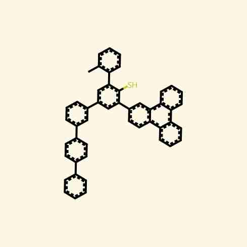 Cc1ccccc1-c1cc(-c2cccc(-c3ccc(-c4ccccc4)cc3)c2)cc(-c2ccc3c4ccccc4c4ccccc4c3c2)c1S